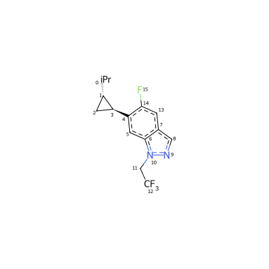 CC(C)[C@H]1C[C@@H]1c1cc2c(cnn2CC(F)(F)F)cc1F